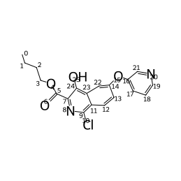 CCCCOC(=O)c1nc(Cl)c2ccc(Oc3cccnc3)cc2c1O